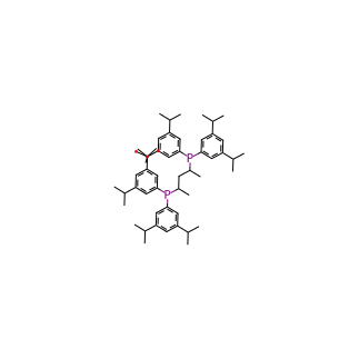 CC(C)c1cc(C(C)C)cc(P(c2cc(C(C)C)cc(C(C)C)c2)C(C)CC(C)P(c2cc(C(C)C)cc(C(C)C)c2)c2cc(C(C)C)cc(C(C)C)c2)c1